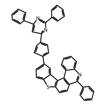 c1ccc(-c2cc(-c3ccc(-c4ccc5sc6ccc7c(-c8ccccc8)nc8ccccc8c7c6c5c4)cc3)nc(-c3ccccc3)n2)cc1